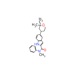 CN(C(=O)c1cc2cc(C3CCOC(C)(C)C3)ccc2[nH]1)c1ccccc1